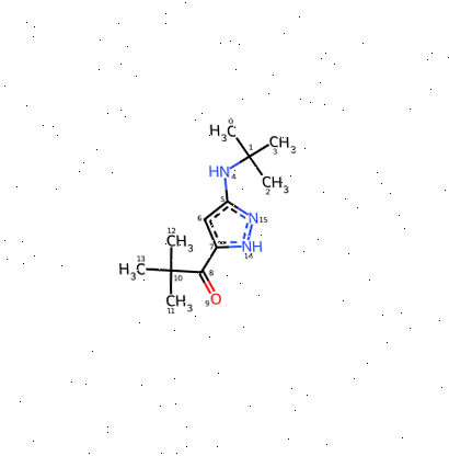 CC(C)(C)Nc1cc(C(=O)C(C)(C)C)[nH]n1